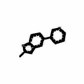 Cc1cc2cc(-c3cccnc3)ccc2o1